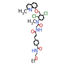 CCOCCNC(=O)c1ccc(C=CC(=O)NCC(=O)N(C)c2ccc(Cl)c(COc3cccc4ccc(C)nc34)c2Cl)cc1